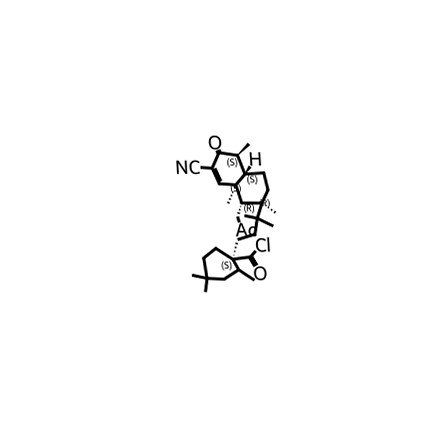 CC(=O)C[C@@H]1[C@@]2(C)C=C(C#N)C(=O)[C@@H](C)[C@@H]2CC[C@@]1(C)C(C)(C)CC[C@@]1(C(=O)Cl)CCC(C)(C)CC1C